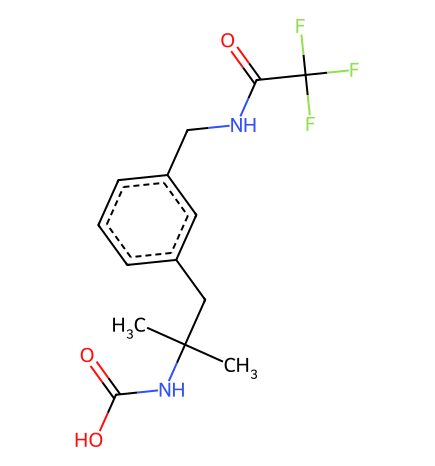 CC(C)(Cc1cccc(CNC(=O)C(F)(F)F)c1)NC(=O)O